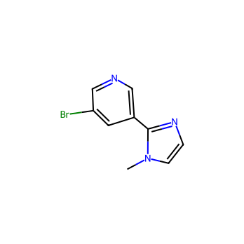 Cn1ccnc1-c1cncc(Br)c1